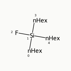 CCCCCC[Si](F)(CCCCCC)CCCCCC